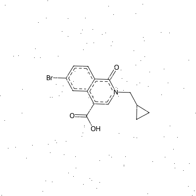 O=C(O)c1cn(CC2CC2)c(=O)c2ccc(Br)cc12